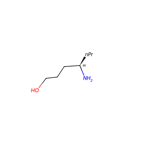 CCC[C@@H](N)CCCO